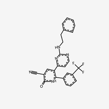 N#Cc1cc(-c2ccnc(NCCc3ccccc3)n2)c(-c2cccc(C(F)(F)F)c2)[nH]c1=O